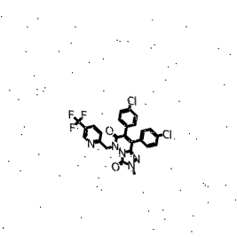 Cn1nc2c(-c3ccc(Cl)cc3)c(-c3ccc(Cl)cc3)c(=O)n(Cc3ccc(C(F)(F)F)cn3)n2c1=O